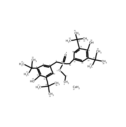 CCOP(=O)(Cc1cc(C(C)(C)C)c(O)c(C(C)(C)C)c1)Cc1cc(C(C)(C)C)c(O)c(C(C)(C)C)c1.[CaH2]